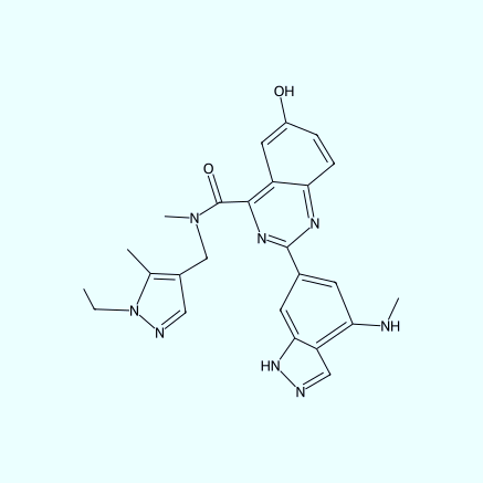 CCn1ncc(CN(C)C(=O)c2nc(-c3cc(NC)c4cn[nH]c4c3)nc3ccc(O)cc23)c1C